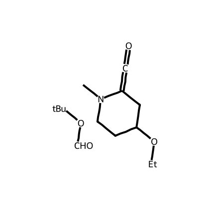 CC(C)(C)OC=O.CCOC1CCN(C)C(=C=O)C1